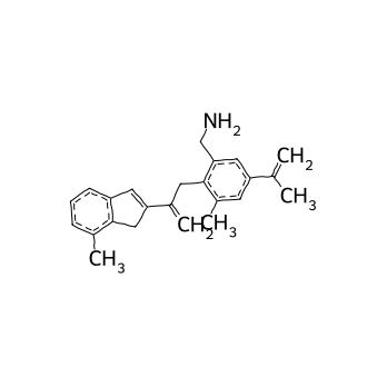 C=C(Cc1c(C)cc(C(=C)C)cc1CN)C1=Cc2cccc(C)c2C1